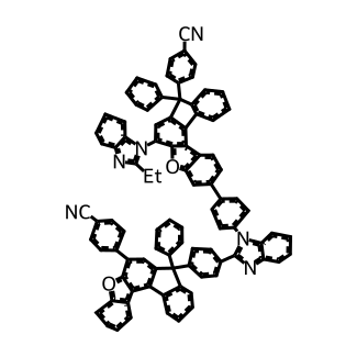 CCc1nc2ccccc2n1-c1cc2c(c3c1oc1cc(-c4ccc(-n5c(-c6ccc(C7(c8ccccc8)c8ccccc8-c8c7cc(-c7ccc(C#N)cc7)c7oc9ccccc9c87)cc6)nc6ccccc65)cc4)ccc13)-c1ccccc1C2(c1ccccc1)c1ccc(C#N)cc1